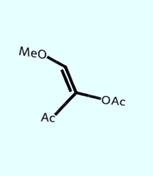 COC=C(OC(C)=O)C(C)=O